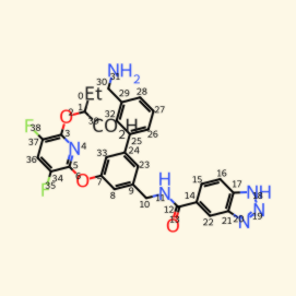 CCC(Oc1nc(Oc2cc(CNC(=O)c3ccc4[nH]nnc4c3)cc(-c3cccc(CN)c3)c2)c(F)cc1F)C(=O)O